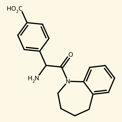 NC(C(=O)N1CCCCc2ccccc21)c1ccc(C(=O)O)cc1